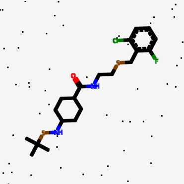 CC(C)(C)SNC1CCC(C(=O)NCCSCc2c(F)cccc2Cl)CC1